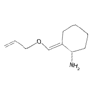 C=CCOC=C1CCCCC1N